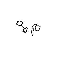 O=C(c1ccc(-c2ccccc2)s1)N1CCN2CCC1C2